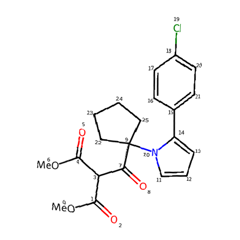 COC(=O)C(C(=O)OC)C(=O)C1(n2cccc2-c2ccc(Cl)cc2)CCCC1